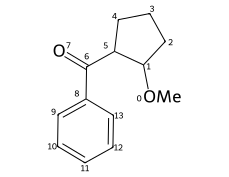 COC1CCCC1C(=O)c1ccccc1